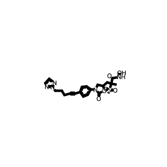 CC(CC1CN(c2ccc(C#CCCCn3nccn3)cc2)C(=O)O1)(C(=O)NO)S(C)(=O)=O